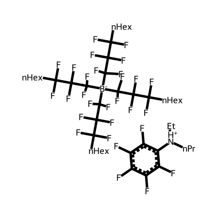 CCCCCCC(F)(F)C(F)(F)C(F)(F)[B-](C(F)(F)C(F)(F)C(F)(F)CCCCCC)(C(F)(F)C(F)(F)C(F)(F)CCCCCC)C(F)(F)C(F)(F)C(F)(F)CCCCCC.CCC[NH+](CC)c1c(F)c(F)c(F)c(F)c1F